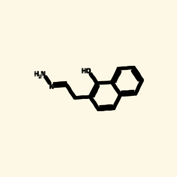 NN=CCc1ccc2ccccc2c1O